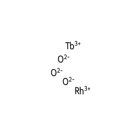 [O-2].[O-2].[O-2].[Rh+3].[Tb+3]